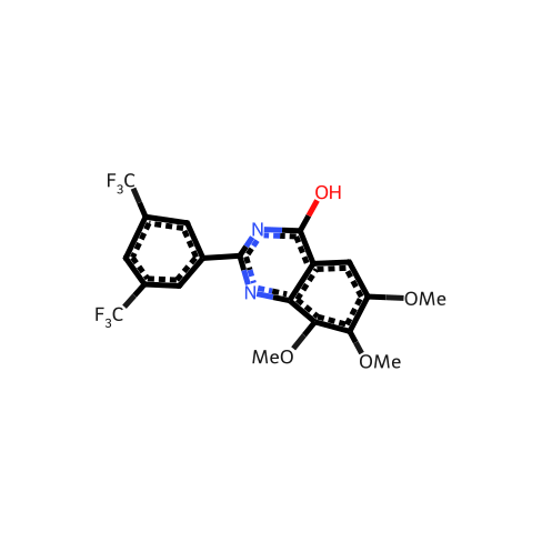 COc1cc2c(O)nc(-c3cc(C(F)(F)F)cc(C(F)(F)F)c3)nc2c(OC)c1OC